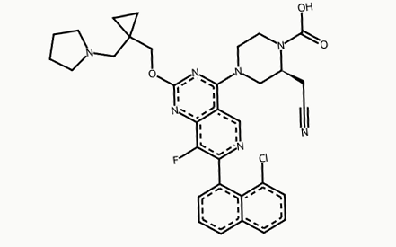 N#CC[C@H]1CN(c2nc(OCC3(CN4CCCC4)CC3)nc3c(F)c(-c4cccc5cccc(Cl)c45)ncc23)CCN1C(=O)O